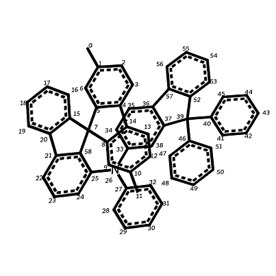 Cc1ccc2c(c1)C1(c3cc(C)ccc3-2)c2ccccc2-c2cccc(N(c3ccccc3)c3ccc4c(c3)C(c3ccccc3)(c3ccccc3)c3ccccc3-4)c21